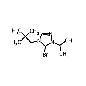 CC(C)N1N=CN(CC(C)(C)C)C1Br